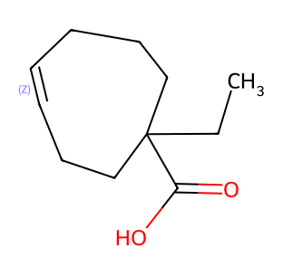 CCC1(C(=O)O)CC/C=C\CCC1